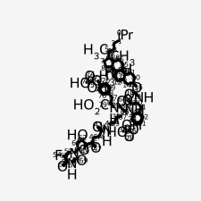 CC(C)CCC[C@@H](C)C1CC[C@H]2C3CC=C4CC(OC(=O)NC(Cc5ccc(OP(=O)(O)O)cc5)C(=O)N[C@H](CCCCNC(=O)CCC(=O)C5OC(n6cc(F)c(=O)[nH]c6=O)CC5O)C(=O)NC(Cc5ccc(OP(=O)(O)O)cc5)C(=O)O)CCC4(C)[C@H]3CCC12C